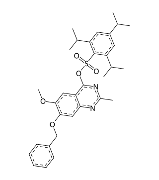 COc1cc2c(OS(=O)(=O)c3c(C(C)C)cc(C(C)C)cc3C(C)C)nc(C)nc2cc1OCc1ccccc1